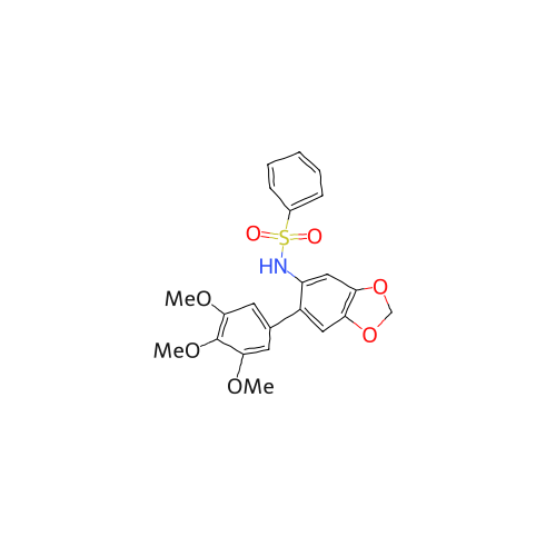 COc1cc(-c2cc3c(cc2NS(=O)(=O)c2ccccc2)OCO3)cc(OC)c1OC